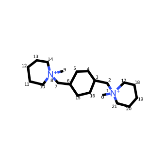 C[N+]1(CC2CCC(C[N+]3(C)CCCCC3)CC2)CCCCC1